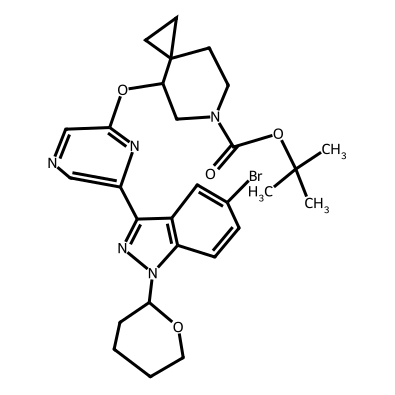 CC(C)(C)OC(=O)N1CCC2(CC2)C(Oc2cncc(-c3nn(C4CCCCO4)c4ccc(Br)cc34)n2)C1